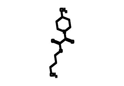 CCCCOC(=O)C(=O)N1CCC(C)CC1